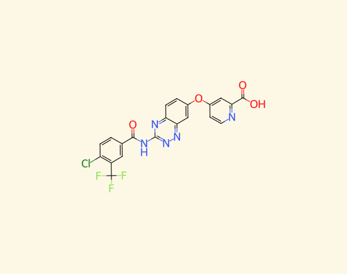 O=C(Nc1nnc2cc(Oc3ccnc(C(=O)O)c3)ccc2n1)c1ccc(Cl)c(C(F)(F)F)c1